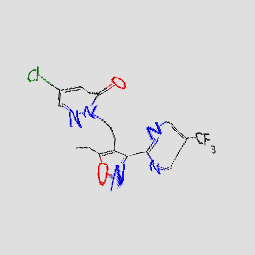 Cc1onc(-c2ncc(C(F)(F)F)cn2)c1Cn1ncc(Cl)cc1=O